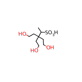 CC(C(CCO)(CCO)CCO)S(=O)(=O)O